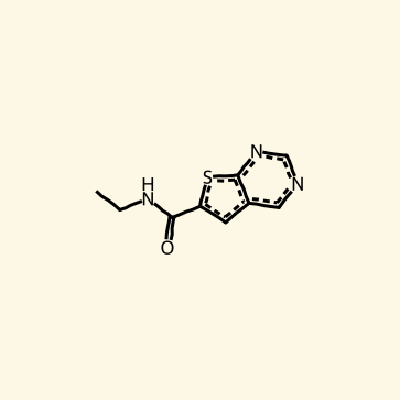 CCNC(=O)c1cc2cncnc2s1